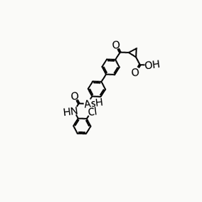 O=C(Nc1ccccc1Cl)[AsH]c1ccc(-c2ccc(C(=O)C3CC3C(=O)O)cc2)cc1